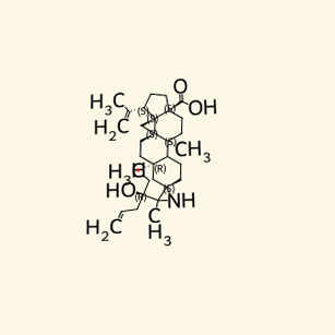 C=CC[C@](O)(CC)C1(C)N[C@]12CCC1[C@H](CC[C@@]34C[C@]35[C@H](C(=C)C)CC[C@]5(C(=O)O)CC[C@@]14C)C2